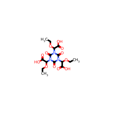 CCOC(C(=O)O)n1c(=O)n(C(OCC)C(=O)O)c(=O)n(C(OCC)C(=O)O)c1=O